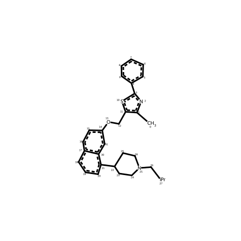 Cc1nc(-c2ccccc2)sc1COc1ccc2cccc(C3CCN(CC(C)C)CC3)c2c1